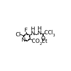 CCOC(=O)c1cnc(Cl)c(F)c1NCNC(=O)C(Cl)(Cl)Cl